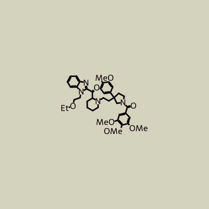 CCOCCn1c(C(=O)C2CCCCN2CCC2(c3ccc(OC)cc3)CCN(C(=O)c3cc(OC)c(OC)c(OC)c3)C2)nc2ccccc21